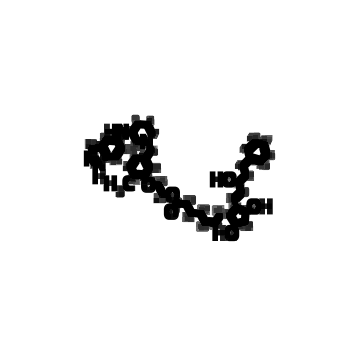 Cc1ccc(CN2CCC[C@@H](Nc3ccc4[nH]ncc4c3)C2)cc1OCCOC(=O)CCC/C=C\C[C@@H]1[C@@H](/C=C/[C@@H](O)CCc2ccccc2)[C@H](O)C[C@@H]1O